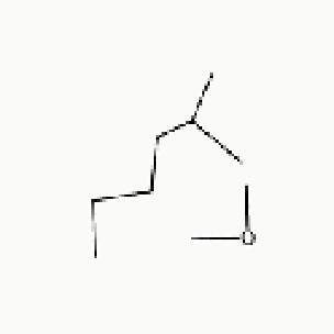 CCCCC(C)C.COC